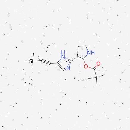 CC(C)(C)C(=O)OC1NCC[C@H]1c1ncc(C#C[Si](C)(C)C)[nH]1